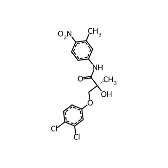 Cc1cc(NC(=O)[C@@](C)(O)COc2ccc(Cl)c(Cl)c2)ccc1[N+](=O)[O-]